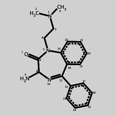 CN(C)CCN1C(=O)C(N)N=C(c2ccccc2)c2ccccc21